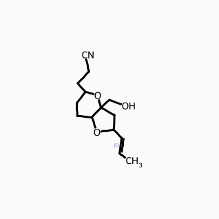 C/C=C/C1CC2(CO)OC(CCC#N)CCC2O1